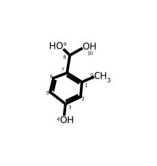 Cc1cc(O)ccc1C(O)O